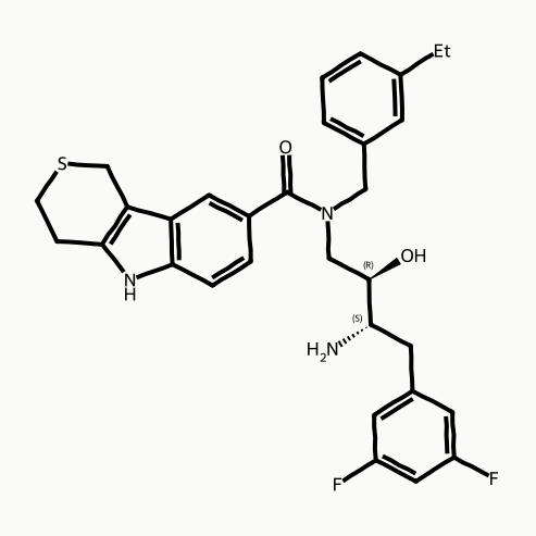 CCc1cccc(CN(C[C@@H](O)[C@@H](N)Cc2cc(F)cc(F)c2)C(=O)c2ccc3[nH]c4c(c3c2)CSCC4)c1